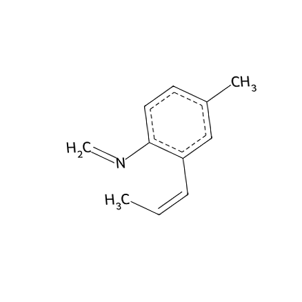 C=Nc1ccc(C)cc1/C=C\C